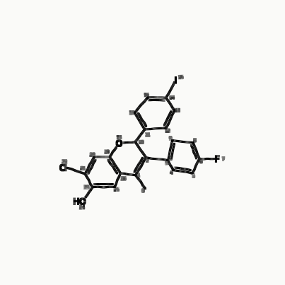 CC1=C(c2ccc(F)cc2)C(c2ccc(I)cc2)Oc2cc(Cl)c(O)cc21